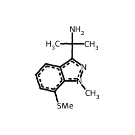 CSc1cccc2c(C(C)(C)N)nn(C)c12